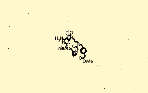 CCCCOc1nc(N)c2[nH]c(=O)n(CCCN(Cc3ccc(CC(=O)OC)cc3)C(=O)Cn3cccc3COC)c2n1